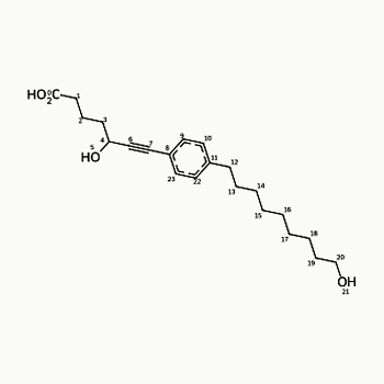 O=C(O)CCCC(O)C#Cc1ccc(CCCCCCCCCO)cc1